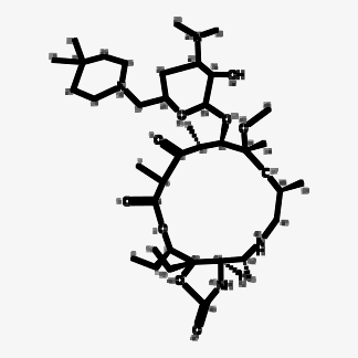 CC[C@H]1OC(=O)C(C)C(=O)[C@H](C)[C@@H](OC2OC(CN3CCC(C)(C)CC3)CC(N(C)C)C2O)[C@](C)(OC)C[C@@H](C)CN[C@H](C)[C@H]2NC(=O)O[C@@]21CC